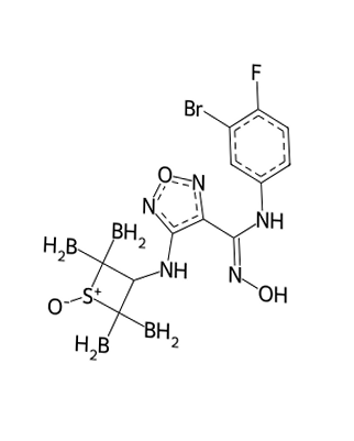 BC1(B)C(Nc2nonc2/C(=N/O)Nc2ccc(F)c(Br)c2)C(B)(B)[S+]1[O-]